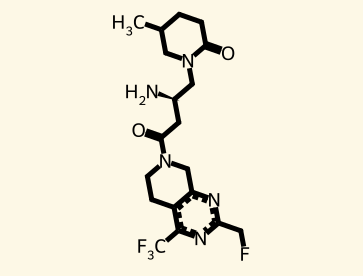 CC1CCC(=O)N(C[C@H](N)CC(=O)N2CCc3c(nc(CF)nc3C(F)(F)F)C2)C1